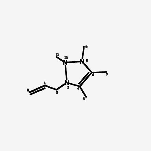 C=CCN1C(C)=C(C)N(C)N1C